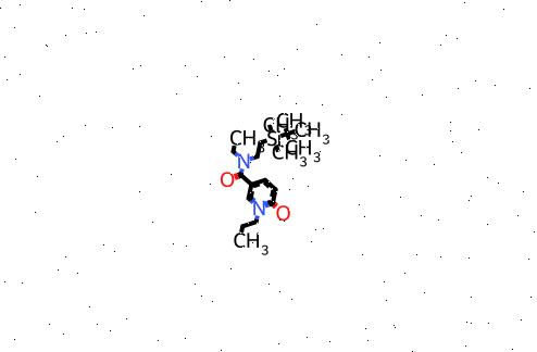 CCCn1cc(C(=O)N(CC)CC[Si](C)(C)C(C)(C)C)ccc1=O